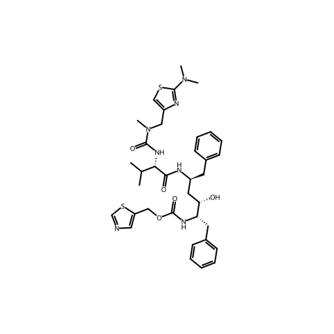 CC(C)[C@H](NC(=O)N(C)Cc1csc(N(C)C)n1)C(=O)N[C@@H](Cc1ccccc1)C[C@H](O)[C@H](Cc1ccccc1)NC(=O)OCc1cncs1